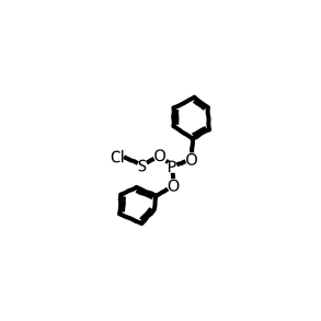 ClSOP(Oc1ccccc1)Oc1ccccc1